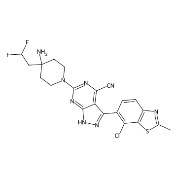 Cc1nc2ccc(-c3n[nH]c4nc(N5CCC(N)(CC(F)F)CC5)nc(C#N)c34)c(Cl)c2s1